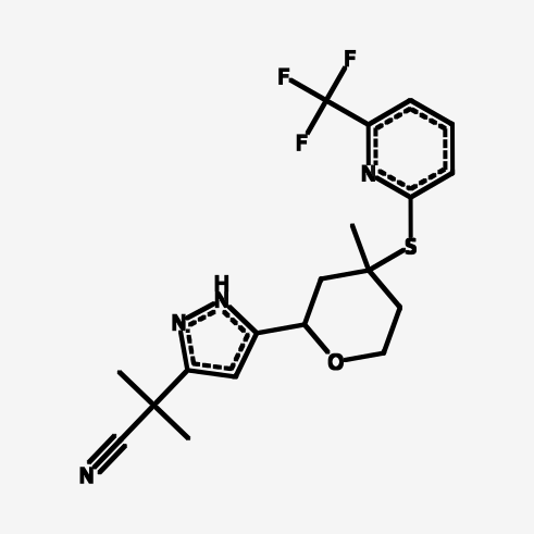 CC1(Sc2cccc(C(F)(F)F)n2)CCOC(c2cc(C(C)(C)C#N)n[nH]2)C1